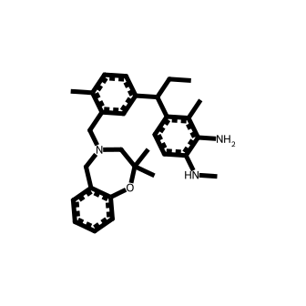 CCC(c1ccc(C)c(CN2Cc3ccccc3OC(C)(C)C2)c1)c1ccc(NC)c(N)c1C